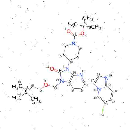 CC(C)(C)OC(=O)N1CCC(n2c(=O)n(COCC[Si](C)(C)C)c3ccc(-c4cnc5ccc(F)cn45)nc32)CC1